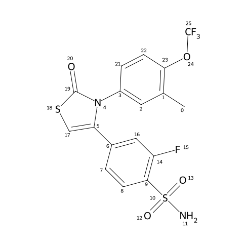 Cc1cc(-n2c(-c3ccc(S(N)(=O)=O)c(F)c3)csc2=O)ccc1OC(F)(F)F